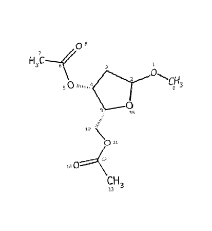 COC1C[C@@H](OC(C)=O)[C@@H](COC(C)=O)O1